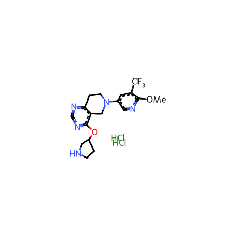 COc1ncc(N2CCc3ncnc(OC4CCNC4)c3C2)cc1C(F)(F)F.Cl.Cl